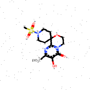 CCOC(=O)c1nc2n(c(=O)c1O)CCOC21CCN(S(C)(=O)=O)CC1